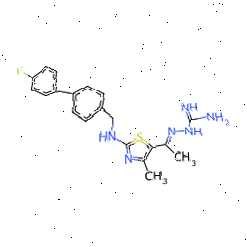 CC(=NNC(=N)N)c1sc(NCc2ccc(-c3ccc(F)cc3)cc2)nc1C